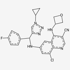 N#Cc1cnc2c(Cl)cc(NC(c3ccc(F)cc3)c3cn(C4CC4)nn3)cc2c1NC1COC1